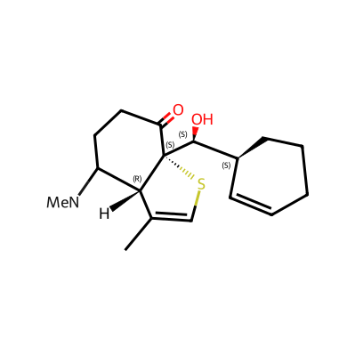 CNC1CCC(=O)[C@]2([C@@H](O)[C@@H]3C=CCCC3)SC=C(C)[C@H]12